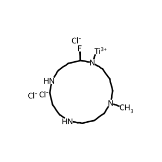 CN1CCCNCCCNCCC(F)[N]([Ti+3])CCC1.[Cl-].[Cl-].[Cl-]